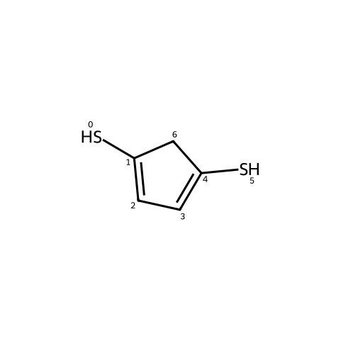 SC1=CC=C(S)C1